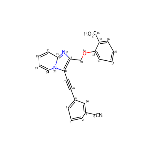 N#Cc1cccc(C#Cc2c(COc3ccccc3C(=O)O)nc3ccccn23)c1